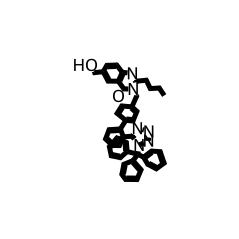 CCCCc1nc2ccc(CO)cc2c(=O)n1Cc1ccc(-c2ccccc2-c2nnnn2C(c2ccccc2)(c2ccccc2)c2ccccc2)cc1